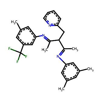 C/C(=N\c1cc(C)cc(C)c1)C(Cc1ccccn1)/C(C)=N/c1cc(C)cc(C(F)(F)F)c1